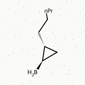 B[C@@H]1C[C@H]1CCCCC